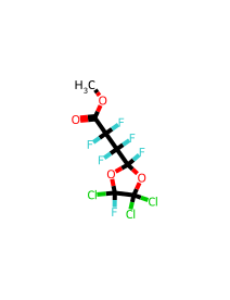 COC(=O)C(F)(F)C(F)(F)C1(F)OC(F)(Cl)C(Cl)(Cl)O1